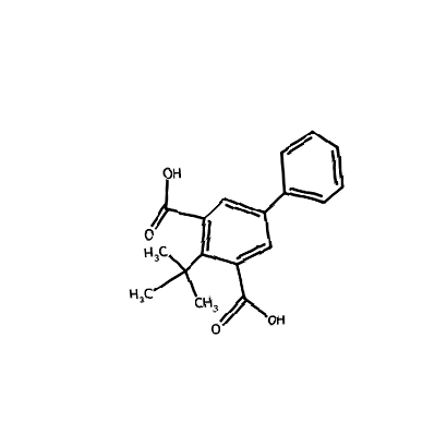 CC(C)(C)c1c(C(=O)O)cc(-c2ccccc2)cc1C(=O)O